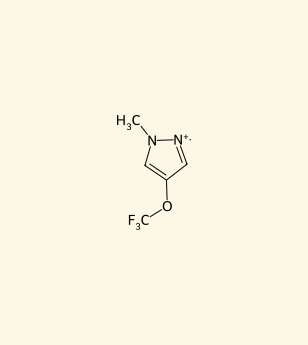 CN1C=C(OC(F)(F)F)C=[N+]1